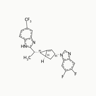 CC(c1nc2cc(C(F)(F)F)ccc2[nH]1)[C@@H]1C2=C[C@H](n3cnc4cc(F)c(F)cc43)C[C@H]21